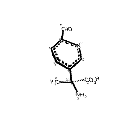 C[C@@](N)(C(=O)O)c1ccc(C=O)nc1